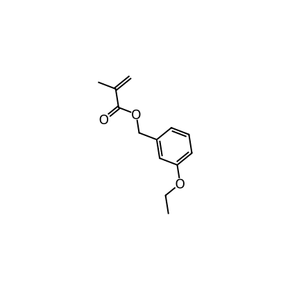 C=C(C)C(=O)OCc1cccc(OCC)c1